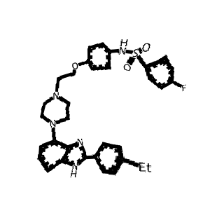 CCc1ccc(-c2nc3c(N4CCN(CCOc5ccc(NS(=O)(=O)c6ccc(F)cc6)cc5)CC4)cccc3[nH]2)cc1